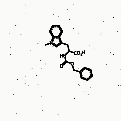 Cn1cc(CC(NC(=O)OCc2ccccc2)C(=O)O)c2ccccc21